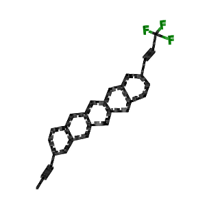 CC#Cc1ccc2cc3cc4cc5cc(C#CC(F)(F)F)ccc5cc4cc3cc2c1